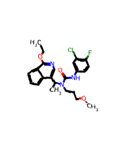 CCOc1ncc(C(C)N(CCCOC)C(=O)Nc2ccc(F)c(Cl)c2)c2ccccc12